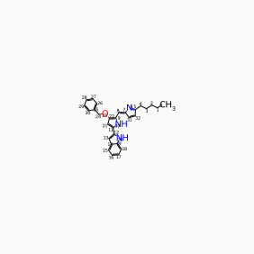 CCCCCC1=NC(=Cc2[nH]c(-c3cc4ccccc4[nH]3)cc2OCc2ccccc2)C=C1